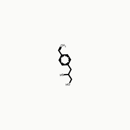 C=Cc1ccc(CC(S)CO)cc1